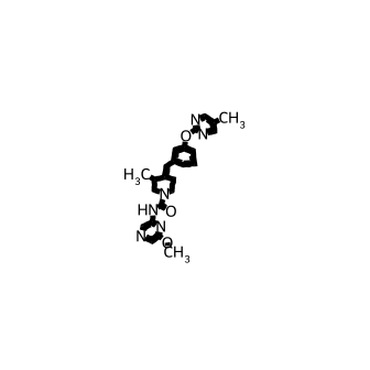 COc1cncc(NC(=O)N2CCC(=Cc3cccc(Oc4ncc(C)cn4)c3)C(C)C2)n1